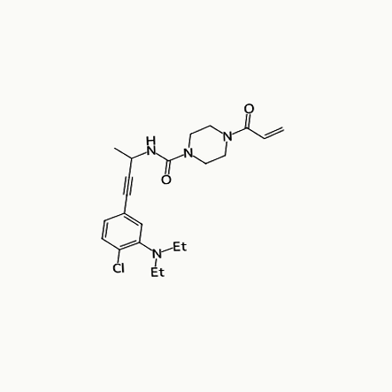 C=CC(=O)N1CCN(C(=O)NC(C)C#Cc2ccc(Cl)c(N(CC)CC)c2)CC1